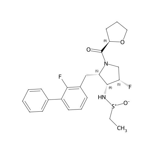 CC[S+]([O-])N[C@H]1[C@@H](F)CN(C(=O)[C@H]2CCCO2)[C@H]1Cc1cccc(-c2ccccc2)c1F